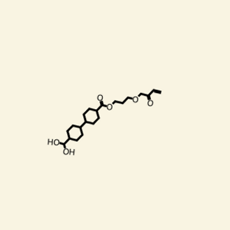 C=CC(=O)COCCCOC(=O)C1CCC(C2CCC(C(O)O)CC2)CC1